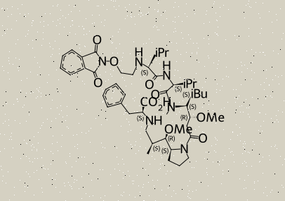 CC[C@H](C)[C@@H]([C@@H](CC(=O)N1CCC[C@H]1[C@H](OC)[C@@H](C)CN[C@@H](Cc1ccccc1)C(=O)O)OC)N(C)C(=O)[C@@H](NC(=O)[C@@H](NCCON1C(=O)c2ccccc2C1=O)C(C)C)C(C)C